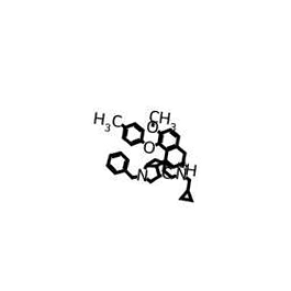 COc1ccc2c(c1Oc1ccc(C)cc1)C13CCN(CC4CC4)[C@H](C2)C12CC1CN(Cc4ccccc4)C(C2)C13